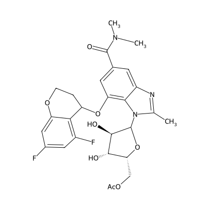 CC(=O)OC[C@H]1OC(n2c(C)nc3cc(C(=O)N(C)C)cc(OC4CCOc5cc(F)cc(F)c54)c32)[C@H](O)[C@H]1O